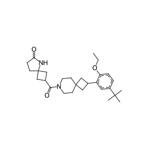 CCOc1ccc(C(C)(C)C)cc1C1CC2(CCN(C(=O)C3CC4(CCC(=O)N4)C3)CC2)C1